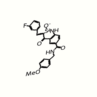 COc1ccc(CNC(=O)c2ccc3c(c2)C(=O)/C(=C/c2cccc(F)c2)[S+]([O-])N3)cc1